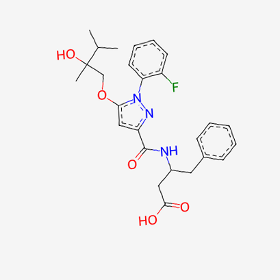 CC(C)C(C)(O)COc1cc(C(=O)NC(CC(=O)O)Cc2ccccc2)nn1-c1ccccc1F